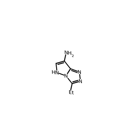 CCc1nnc2c(N)c[nH]n12